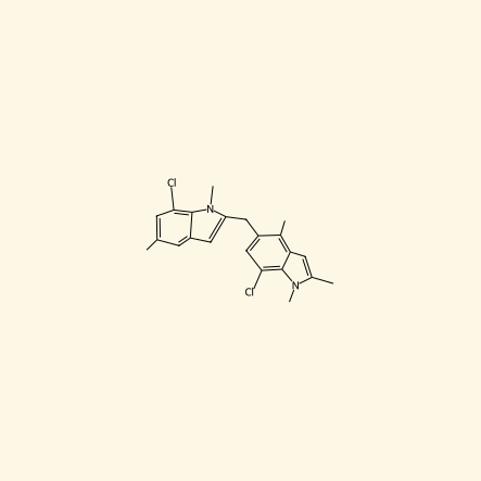 Cc1cc(Cl)c2c(c1)cc(Cc1cc(Cl)c3c(cc(C)n3C)c1C)n2C